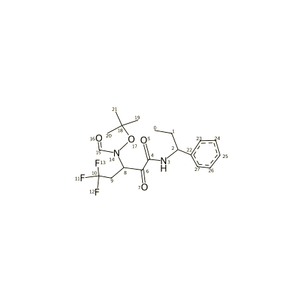 CCC(NC(=O)C(=O)C(CC(F)(F)F)N(C=O)OC(C)(C)C)c1ccccc1